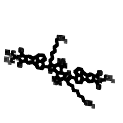 CCCCCCCCc1c(-c2ccc3c4c(cccc24)-c2cc4c(cc2-3)C(=O)N(CC)C4=O)sc2c1c1nsnc1c1c3sc(-c4ccc5c6c(cccc46)-c4cc6c(cc4-5)C(=O)N(C(C)C)C6=O)c(CCCCCCCC)c3c3nsnc3c21